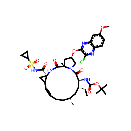 CC[C@@H]1C[C@H](C)CC/C=C\C2C[C@@]2(C(=O)NS(=O)(=O)C2CC2)NC(=O)[C@@H]2C[C@@H](Oc3nc4cc(OC)ccc4nc3Cl)CN2C(=O)[C@H]1NC(=O)OC(C)(C)C